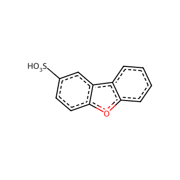 O=S(=O)(O)c1ccc2oc3ccccc3c2c1